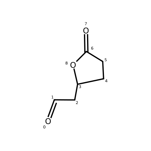 O=CCC1CCC(=O)O1